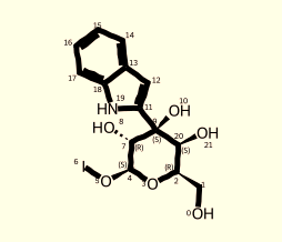 OC[C@H]1O[C@@H](OI)[C@H](O)[C@](O)(c2cc3ccccc3[nH]2)[C@H]1O